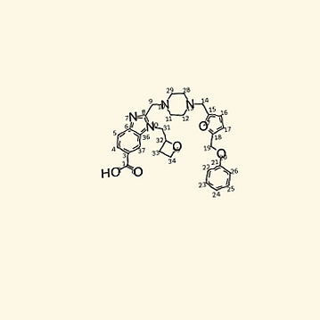 O=C(O)c1ccc2nc(CN3CCN(Cc4ccc(COc5ccccc5)o4)CC3)n(CC3CCO3)c2c1